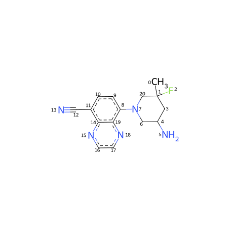 CC1(F)CC(N)CN(c2ccc(C#N)c3nccnc23)C1